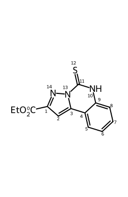 CCOC(=O)c1cc2c3ccccc3[nH]c(=S)n2n1